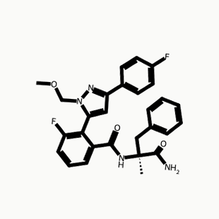 COCn1nc(-c2ccc(F)cc2)cc1-c1c(F)cccc1C(=O)N[C@@](C)(Cc1ccccc1)C(N)=O